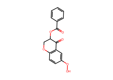 O=C(OC1COc2ccc(OO)cc2C1=O)c1ccccc1